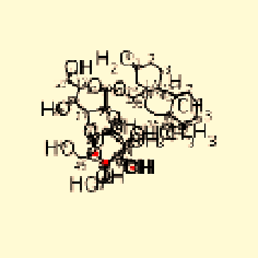 C=C1CC[C@H]2C3(C)CCCC(C)(C)[C@@]3(C)CC[C@]2(CO[C@@H]2OC(CO)[C@@H](O)C(O[C@@H]3OC(CO)[C@@H](O)C(O)[C@H]3O)[C@H]2O[C@@H]2OC(CO)[C@@H](O)C(O)[C@H]2O)C1